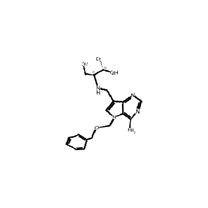 CC[C@H](O)[C@H](CO)NCc1cn(COCc2ccccc2)c2c(N)ncnc12